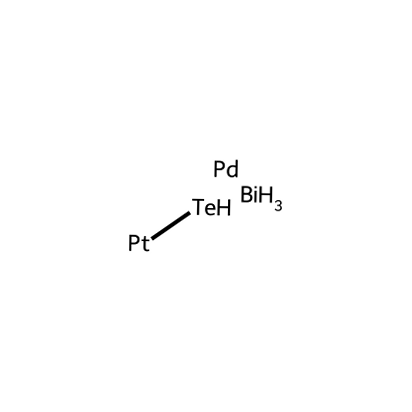 [BiH3].[Pd].[TeH][Pt]